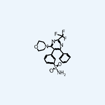 NS(=O)(=O)c1cccc(-c2c(-c3ccccc3)nc(C(F)(F)F)nc2N2CCOCC2)c1